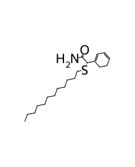 CCCCCCCCCCCCS[C@H](C(N)=O)C1=CC=CCC1